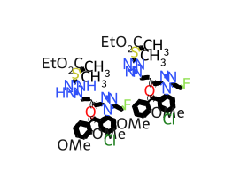 CCOC(=O)C(C)(C)SC1=NNN(CC[C@H]2O[C@H](c3cccc(OC)c3OC)c3cc(Cl)ccc3-n3c(CF)nnc32)N1.CCOC(=O)C(C)(C)Sc1nnn(CC[C@H]2O[C@H](c3cccc(OC)c3OC)c3cc(Cl)ccc3-n3c(CF)nnc32)n1